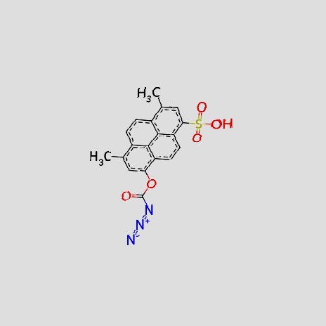 Cc1cc(OC(=O)N=[N+]=[N-])c2ccc3c(S(=O)(=O)O)cc(C)c4ccc1c2c43